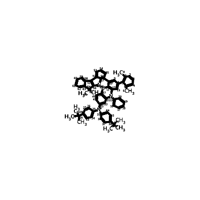 Cc1cccc(C)c1-c1cc2c3c(c1)N(c1ccccc1)c1cc(N(c4ccc(C(C)(C)C)cc4)c4ccc(C(C)(C)C)cc4)ccc1B3n1c3c(c4cccc-2c41)-c1ccccc1C3(C)C